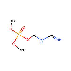 CC(C)(C)OP(=O)(OCNC=N)OC(C)(C)C